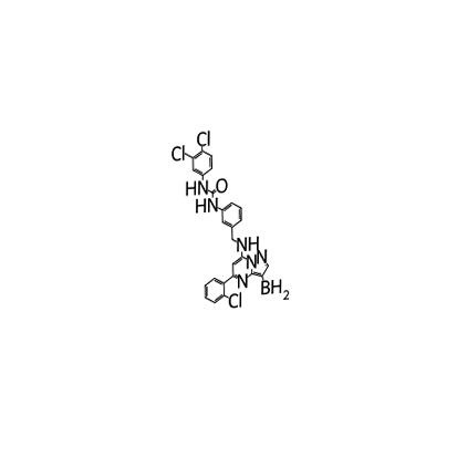 Bc1cnn2c(NCc3cccc(NC(=O)Nc4ccc(Cl)c(Cl)c4)c3)cc(-c3ccccc3Cl)nc12